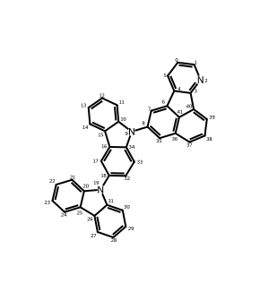 c1cnc2c(c1)-c1cc(-n3c4ccccc4c4cc(-n5c6ccccc6c6ccccc65)ccc43)cc3cccc-2c13